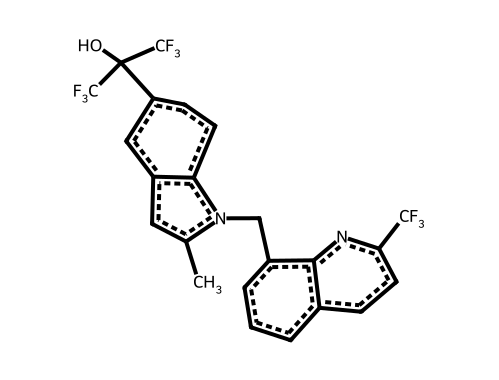 Cc1cc2cc(C(O)(C(F)(F)F)C(F)(F)F)ccc2n1Cc1cccc2ccc(C(F)(F)F)nc12